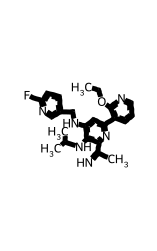 CCOc1ncccc1-c1cc(NCc2ccc(F)nc2)c(NC(C)C)c(C(C)=N)n1